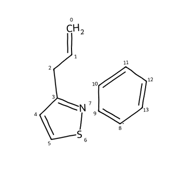 C=CCc1ccsn1.[c]1ccccc1